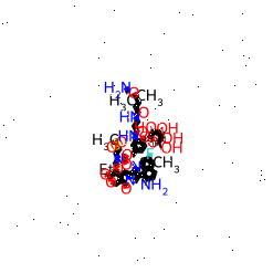 CC[C@@]1(OCN(CCS(C)(=O)=O)C(=O)OCc2ccc(O[C@@H]3O[C@H](CO)[C@H](O)[C@H](O)[C@H]3O)c(NC(=O)CCNC(=O)CCC(C)(C)OCN)c2)C(=O)OCc2c1cc1n(c2=O)Cc2c-1nc1cc(F)c(C)c3c1c2[C@@H](N)CC3